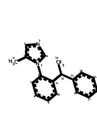 Cc1cncn1-c1ccccc1C(c1ccccc1)C(F)(F)F